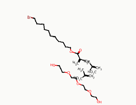 C=C(C)C(=O)O.C=C(C)C(=O)O.C=C(C)C(=O)OCCCCCCCCCCCBr.OCCOCCOCCOCCO